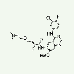 COc1cc2ncnc(Nc3ccc(F)c(Cl)c3)c2cc1NC(=O)/C(F)=C/COCCN(C)C